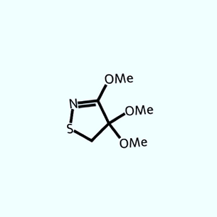 COC1=NSCC1(OC)OC